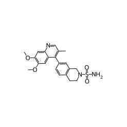 COc1cc2ncc(C)c(-c3ccc4c(c3)CN(S(N)(=O)=O)CC4)c2cc1OC